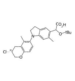 Cc1cc2c(cc1C(OC(C)(C)C)C(=O)O)CCN2c1ccc2c(c1C)C[C@@H](Cl)CO2